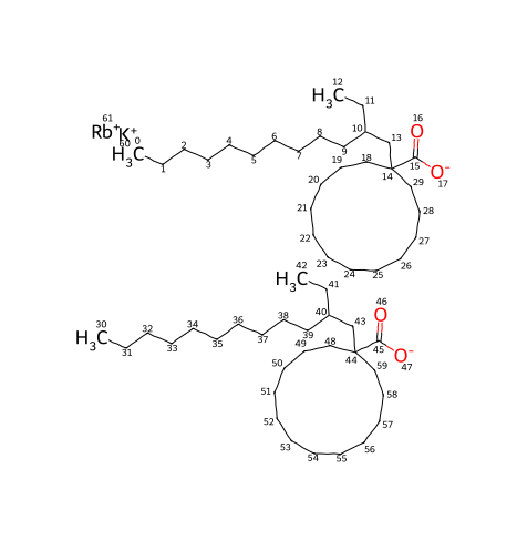 CCCCCCCCCCC(CC)CC1(C(=O)[O-])CCCCCCCCCCCC1.CCCCCCCCCCC(CC)CC1(C(=O)[O-])CCCCCCCCCCCC1.[K+].[Rb+]